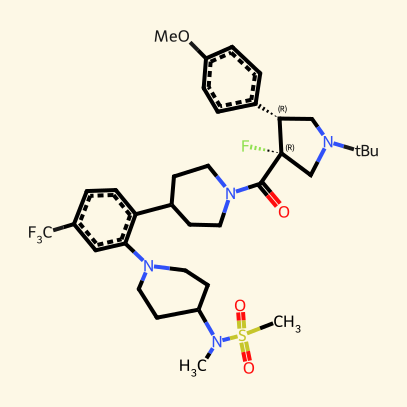 COc1ccc([C@@H]2CN(C(C)(C)C)C[C@@]2(F)C(=O)N2CCC(c3ccc(C(F)(F)F)cc3N3CCC(N(C)S(C)(=O)=O)CC3)CC2)cc1